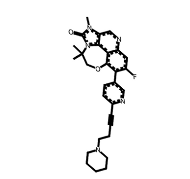 Cn1c(=O)n2c3c4c(c(-c5ccc(C#CCCN6CCCCC6)nc5)c(F)cc4ncc31)OCC2(C)C